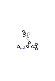 C=C(/C=C\C=C1/COc2ccccc21)c1ccc2c(c1)c1cc(-c3ccc(N(c4ccccc4)c4cccc5c4oc4ccccc45)cc3)ccc1n2-c1ccc2c3ccccc3c3ccccc3c2c1